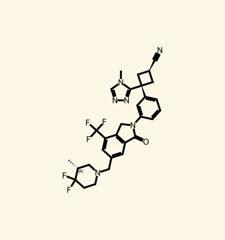 C[C@@H]1CN(Cc2cc3c(c(C(F)(F)F)c2)CN(c2cccc([C@]4(c5nncn5C)C[C@H](C#N)C4)c2)C3=O)CCC1(F)F